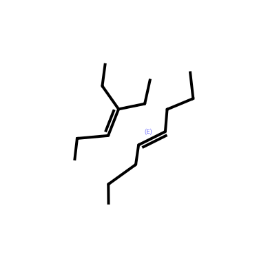 CCC/C=C/CCC.CCC=C(CC)CC